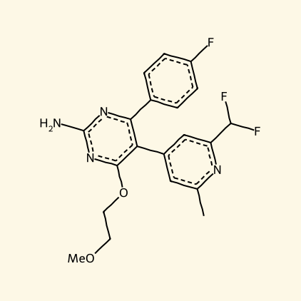 COCCOc1nc(N)nc(-c2ccc(F)cc2)c1-c1cc(C)nc(C(F)F)c1